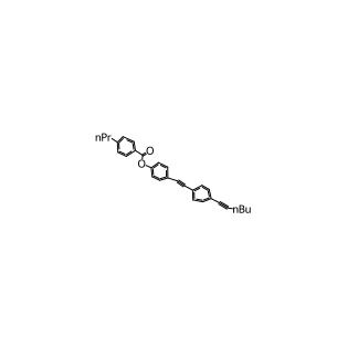 CCCCC#Cc1ccc(C#Cc2ccc(OC(=O)c3ccc(CCC)cc3)cc2)cc1